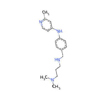 Cc1cc(Nc2ccc(CNCCCN(C)C)cc2)ccn1